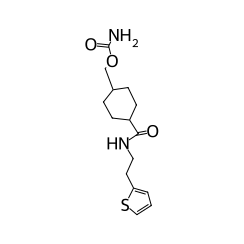 NC(=O)OCC1CCC(C(=O)NCCc2cccs2)CC1